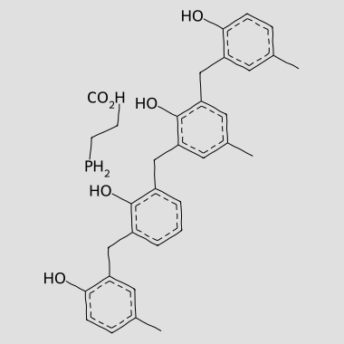 Cc1ccc(O)c(Cc2cccc(Cc3cc(C)cc(Cc4cc(C)ccc4O)c3O)c2O)c1.O=C(O)CCP